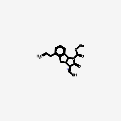 C=CCc1cccc2c1CC1/C(=C/O)C(=O)N(C(=O)OC(C)(C)C)C21